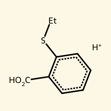 CCSc1ccccc1C(=O)O.[H+]